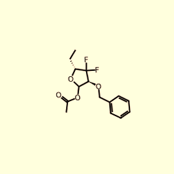 CC[C@H]1OC(OC(C)=O)[C@H](OCc2ccccc2)C1(F)F